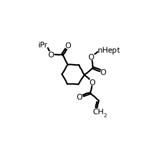 C=CC(=O)OC1(C(=O)OCCCCCCC)CCCC(C(=O)OC(C)C)C1